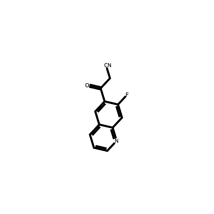 N#CCC(=O)c1cc2cccnc2cc1F